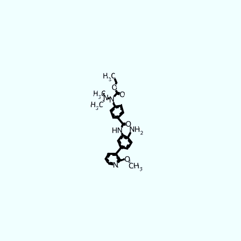 CCOC(=O)N(c1ccc(C(=O)Nc2cc(-c3cccnc3OC)ccc2N)cc1)N(C)C